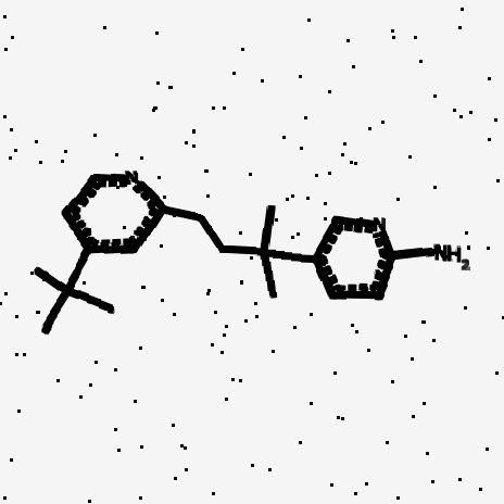 CC(C)(C)c1ccnc(CCC(C)(C)c2ccc(N)nc2)c1